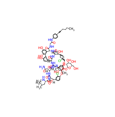 CCCCC#Cc1ccc(NC(=O)CNC(=O)C2NC(=O)[C@H]3NC(=O)[C@H](NC(=O)C4NC(=O)[C@H](CC(N)=O)NC(=O)[C@H](NC(=O)[C@@H](CC(C)C)NC)[C@H](O)c5ccc(c(Cl)c5)Oc5cc4cc(c5O[C@@H]4O[C@H](CO)[C@@H](O)[C@H](O)[C@H]4OC4C[C@](C)(N)[C@H](O)[C@H](C)O4)Oc4ccc(cc4Cl)[C@H]3O)c3ccc(O)c(c3)-c3c(O)cc(O)cc32)cc1